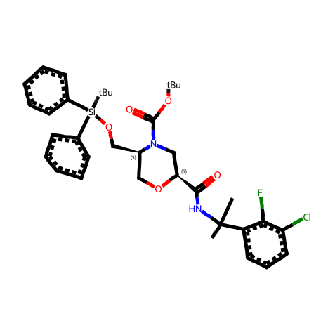 CC(C)(C)OC(=O)N1C[C@@H](C(=O)NC(C)(C)c2cccc(Cl)c2F)OC[C@H]1CO[Si](c1ccccc1)(c1ccccc1)C(C)(C)C